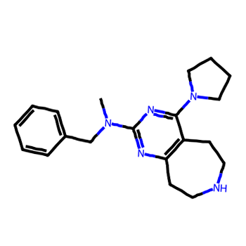 CN(Cc1ccccc1)c1nc2c(c(N3CCCC3)n1)CCNCC2